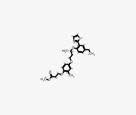 CCc1ccc(O[C@@H](C)CCOc2ccc(OCCC(=O)OC)c(C)c2)c(-c2nccs2)c1